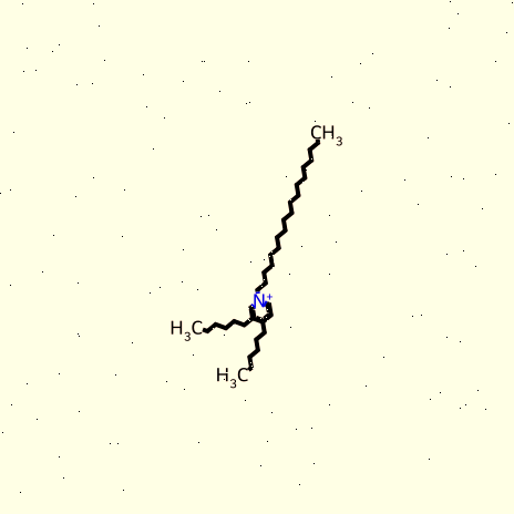 CCCCCCCCCCCCCCCCCCC[n+]1ccc(CCCCCC)c(CCCCCC)c1